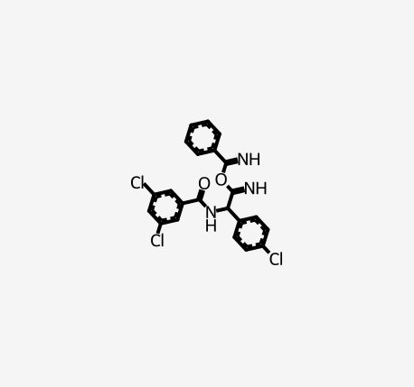 N=C(OC(=N)C(NC(=O)c1cc(Cl)cc(Cl)c1)c1ccc(Cl)cc1)c1ccccc1